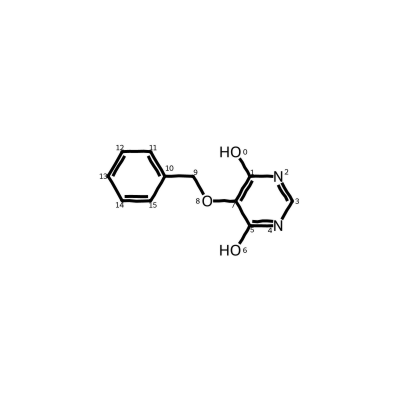 Oc1ncnc(O)c1OCc1ccccc1